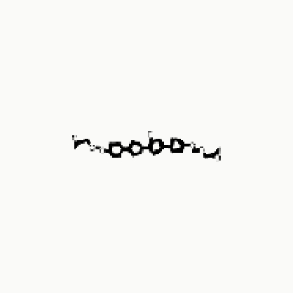 Fc1cc(-c2ccc(OCOCC3CO3)cc2)ccc1C1CCC(C2CCC(OCOCC3CO3)CC2)CC1